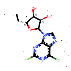 CC[C@H]1OC(n2cnc3c(Cl)nc(F)nc32)[C@H](O)[C@@H]1O